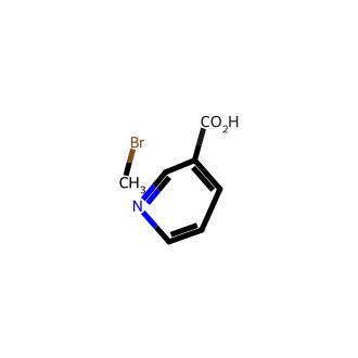 CBr.O=C(O)c1cccnc1